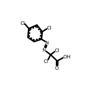 O=C(O)C(Cl)(Cl)/N=N/c1ccc(Cl)cc1Cl